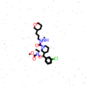 CCN(O[C@@H](c1cccc(Cl)c1)C1CCCN(C(=O)N(CCCC2CCCOC2)NC)C1)C(=O)OC